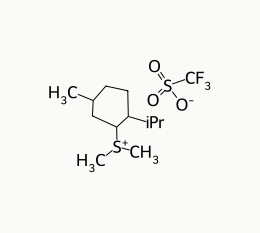 CC1CCC(C(C)C)C([S+](C)C)C1.O=S(=O)([O-])C(F)(F)F